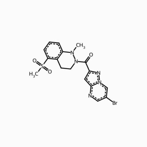 CN1c2cccc(S(C)(=O)=O)c2CCN1C(=O)c1cc2ncc(Br)cn2n1